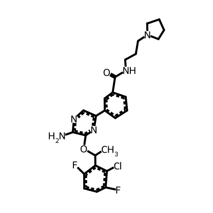 CC(Oc1nc(-c2cccc(C(=O)NCCCN3CCCC3)c2)cnc1N)c1c(F)ccc(F)c1Cl